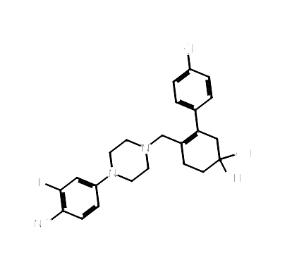 CC1(C)CCC(CN2CCN(c3ccc(C#N)c(F)c3)CC2)=C(c2ccc(Cl)cc2)C1